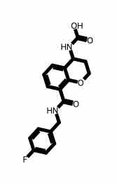 O=C(O)NC1CCOc2c(C(=O)NCc3ccc(F)cc3)cccc21